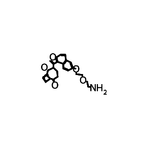 NCCOCCOc1ccc2c(ccc3occ(C4CCC(=O)C56CC(C5)C6C4=O)c32)c1